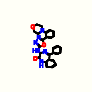 O=C1Nc2ccccc2C(c2ccccc2)=N[C@@H]1Nc1nnc(-c2ccccc2N2CCOCC2)o1